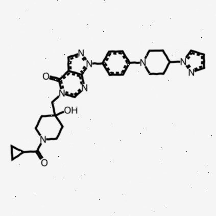 O=C(C1CC1)N1CCC(O)(Cn2cnc3c(cnn3-c3ccc(N4CCC(n5cccn5)CC4)cc3)c2=O)CC1